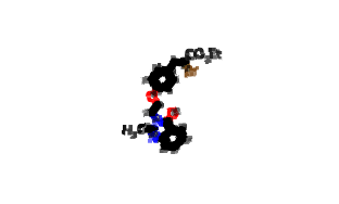 CCOC(=O)C(Br)Cc1ccc(OCCn2c(C)nc3ccccc3c2=O)cc1